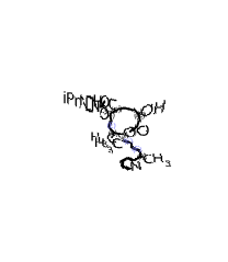 C/C(=C\C=C\[C@@H](C)c1ccccn1)[C@H]1OC(=O)C[C@H](O)CC[C@H](C)[C@@H](OC(=O)N2CCN(C(C)C)CC2)/C=C/[C@@H]1C